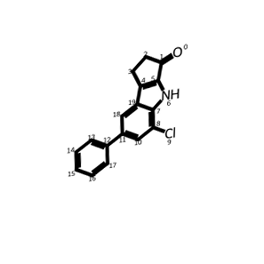 O=C1CCc2c1[nH]c1c(Cl)cc(-c3ccccc3)cc21